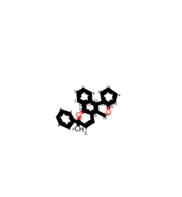 CC1(c2ccccc2)C=Cc2c3c(c4ccccc4c2O1)-c1ccccc1OC3